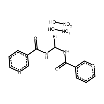 CCC(NC(=O)c1cccnc1)NC(=O)c1cccnc1.O=[N+]([O-])O.O=[N+]([O-])O